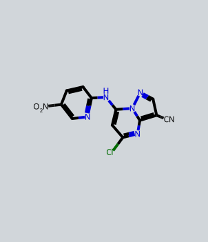 N#Cc1cnn2c(Nc3ccc([N+](=O)[O-])cn3)cc(Cl)nc12